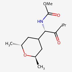 COC(=O)N[C@H](C(=O)C(C)C)C1C[C@@H](C)O[C@H](C)C1